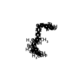 CCc1cc(Nc2ncc(Br)c(Nc3ccc4nc(C(C)(C)O)ccc4c3P(C)(C)=O)n2)c(OC)cc1N1CCC(N2CCN(C(=O)C3CCN(c4cc(F)c(C5CCC(=O)NC5=O)c(F)c4)C3)CC2)CC1